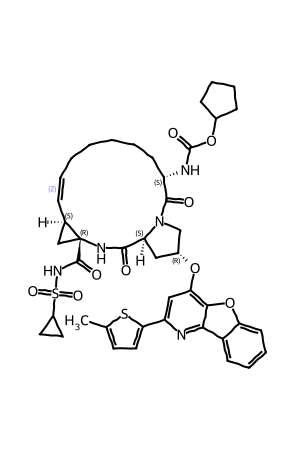 Cc1ccc(-c2cc(O[C@@H]3C[C@H]4C(=O)N[C@]5(C(=O)NS(=O)(=O)C6CC6)C[C@H]5/C=C\CCCCC[C@H](NC(=O)OC5CCCC5)C(=O)N4C3)c3oc4ccccc4c3n2)s1